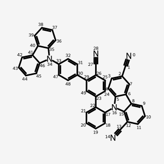 N#Cc1ccc2c(c1)c1cccc(C#N)c1n2-c1ccccc1-c1ccc(C#N)c(-c2ccc(-n3c4ccccc4c4ccccc43)cc2)c1